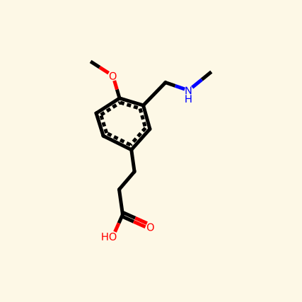 CNCc1cc(CCC(=O)O)ccc1OC